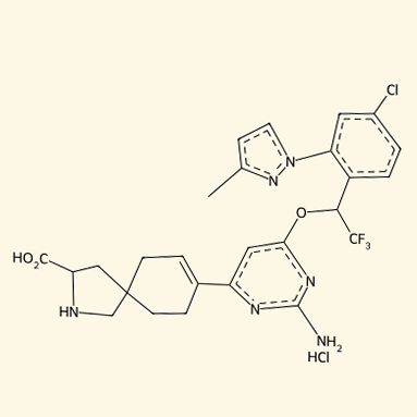 Cc1ccn(-c2cc(Cl)ccc2C(Oc2cc(C3=CCC4(CC3)CNC(C(=O)O)C4)nc(N)n2)C(F)(F)F)n1.Cl